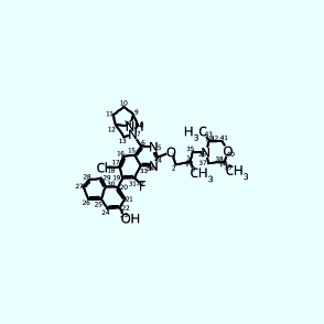 C[C@@H](COc1nc(N2CC3CCC(C2)N3)c2cc(Cl)c(-c3cc(O)cc4ccccc34)c(F)c2n1)CN1C[C@@H](C)OC[C@@H]1C